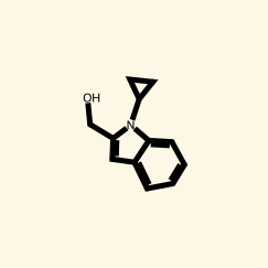 OCc1cc2ccccc2n1C1CC1